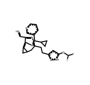 N=CC1=N/C=C(/CCc2cc(OC(F)I)[nH]n2)CC2C/C2=C\1N[C@@H](c1cccnc1)C1CC1